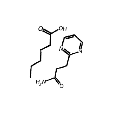 CCCCCC(=O)O.NC(=O)CCc1ncccn1